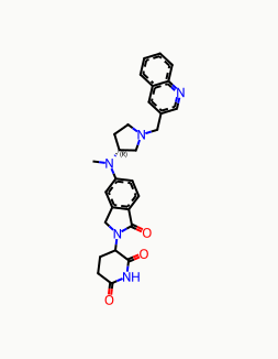 CN(c1ccc2c(c1)CN(C1CCC(=O)NC1=O)C2=O)[C@@H]1CCN(Cc2cnc3ccccc3c2)C1